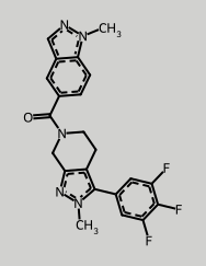 Cn1nc2c(c1-c1cc(F)c(F)c(F)c1)CCN(C(=O)c1ccc3c(cnn3C)c1)C2